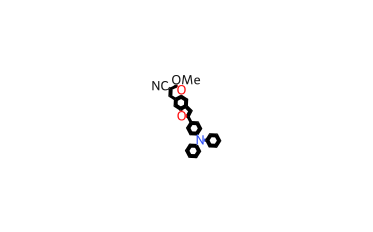 COC(=O)C(C#N)=Cc1ccc2cc(-c3ccc(N(c4ccccc4)c4ccccc4)cc3)oc2c1